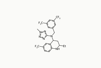 CCC1CC(N(Cc2cc(C(F)(F)F)cc(C(F)(F)F)c2)c2nnn(C)n2)c2cc(C(F)(F)F)ccc2N1